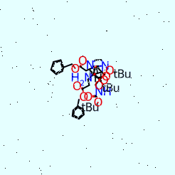 CC(C)(C)OC(=O)NCCC1(N)CN2CCN(C1)C(CC(=O)OCc1ccccc1)([C@H](CCC(=O)OCc1ccccc1)C(=O)OC(C)(C)C)[C@H]2C(=O)OC(C)(C)C